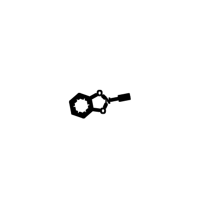 C#CN1Oc2ccccc2O1